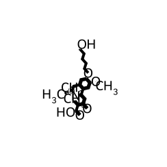 COc1cc2c(cc1OCCCCCO)C[C@@H](C(C)(C)C)n1cc(C(=O)O)c(=O)cc1-2